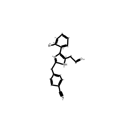 N#Cc1ccc(Cc2nc(-c3ccccc3Br)c(C[C]=O)[nH]2)cc1